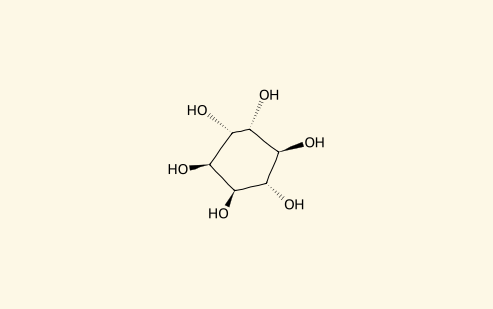 O[C@H]1[C@H](O)[C@H](O)[C@@H](O)[C@H](O)[C@H]1O